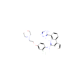 Clc1cc(OCCN2CCOCC2)ccc1Nc1nc2c(-c3nnc[nH]3)cccc2c2ccsc12